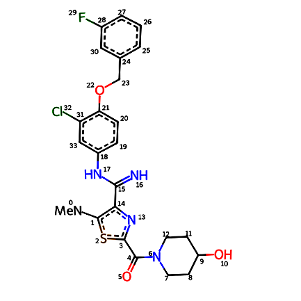 CNc1sc(C(=O)N2CCC(O)CC2)nc1C(=N)Nc1ccc(OCc2cccc(F)c2)c(Cl)c1